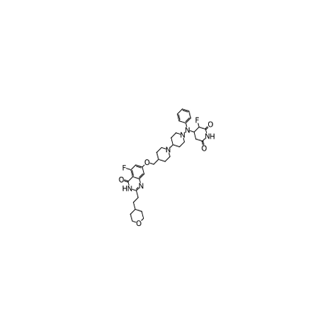 O=C1CC(N(c2ccccc2)N2CCC(N3CCC(COc4cc(F)c5c(=O)[nH]c(CCC6CCOCC6)nc5c4)CC3)CC2)C(F)C(=O)N1